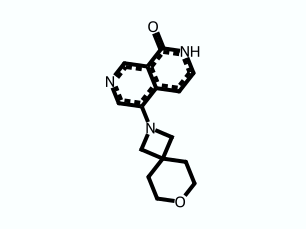 O=c1[nH]ccc2c(N3CC4(CCOCC4)C3)cncc12